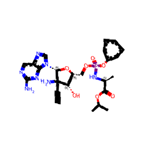 C#CC1(N)[C@@H](O)[C@@H](COP(=O)(N[C@@H](C)C(=O)OC(C)C)Oc2ccccc2)O[C@H]1n1cnc2cnc(N)nc21